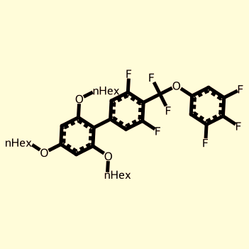 CCCCCCOc1cc(OCCCCCC)c(-c2cc(F)c(C(F)(F)Oc3cc(F)c(F)c(F)c3)c(F)c2)c(OCCCCCC)c1